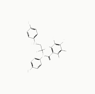 CCC(CC)(CNc1ccc(F)cc1)N(C(=O)c1c(F)c(F)c(F)c(F)c1F)c1ccc(F)cc1